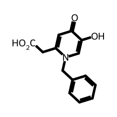 O=C(O)Cc1cc(=O)c(O)cn1Cc1ccccc1